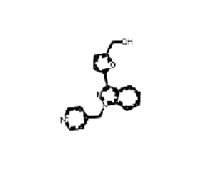 OCc1ccc(-c2nn(Cc3ccncc3)c3ccccc23)o1